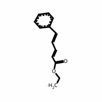 [CH2]COC(=O)C=CC=Cc1ccccc1